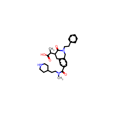 CC(C(=O)O)C1Cc2cc(C(=O)N(C)CCC3CCNCC3)ccc2CN(CCc2ccccc2)C1=O